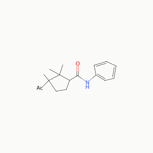 CC(=O)C1(C)CCC(C(=O)Nc2ccccc2)C1(C)C